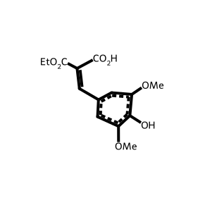 CCOC(=O)C(=Cc1cc(OC)c(O)c(OC)c1)C(=O)O